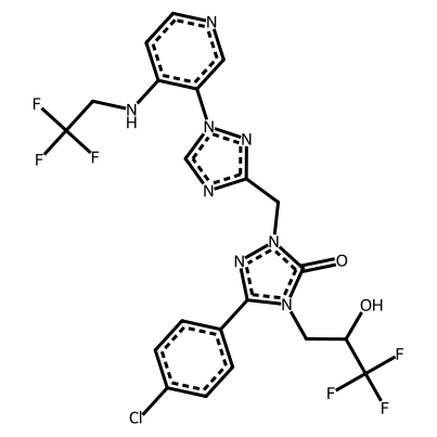 O=c1n(Cc2ncn(-c3cnccc3NCC(F)(F)F)n2)nc(-c2ccc(Cl)cc2)n1CC(O)C(F)(F)F